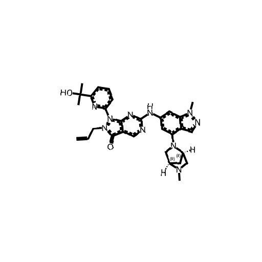 C=CCn1c(=O)c2cnc(Nc3cc(N4C[C@H]5C[C@@H]4CN5C)c4cnn(C)c4c3)nc2n1-c1cccc(C(C)(C)O)n1